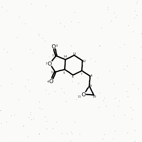 O=C1OC(=O)C2CC(CC3CO3)CCC12